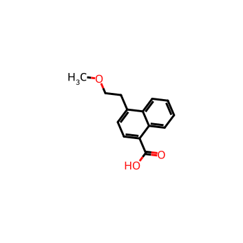 COCCc1ccc(C(=O)O)c2ccccc12